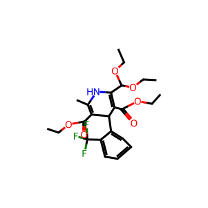 CCOC(=O)C1=C(C)NC(C(OCC)OCC)=C(C(=O)OCC)C1c1ccccc1C(F)(F)F